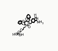 Nc1n[nH]c2ccc(CN3C(=O)N(CCCOCOP(O)O)[C@H](Cc4ccccc4)[C@H](O)[C@@H](O)[C@H]3Cc3ccccc3)cc12